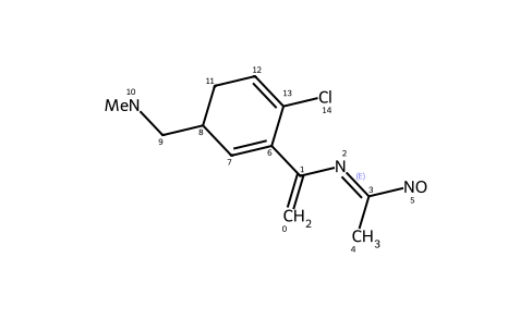 C=C(/N=C(\C)N=O)C1=CC(CNC)CC=C1Cl